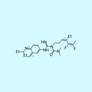 C/C=C1/C=C(NC(=N)N(CC/C=C(CC)\C(F)=C(/C)F)C(=O)N(C)C)C=C/C1=N/C(CC)CC